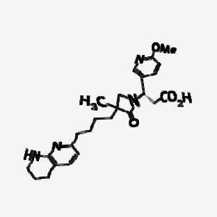 COc1ccc([C@H](CC(=O)O)N2CC(C)(CCCCc3ccc4c(n3)NCCC4)C2=O)cn1